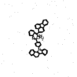 C=C(/N=C1/C=CC=C/C1=C(/N)c1ccc2c3c(cccc13)-c1ccccc1-2)c1ccc(-n2c3c(c4ccccc42)CCc2ccccc2-3)cc1